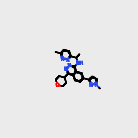 Cc1ccc(C(C)Nc2nnc(C3CCOCC3)c3ccc(-c4ccn(C)n4)cc23)nn1